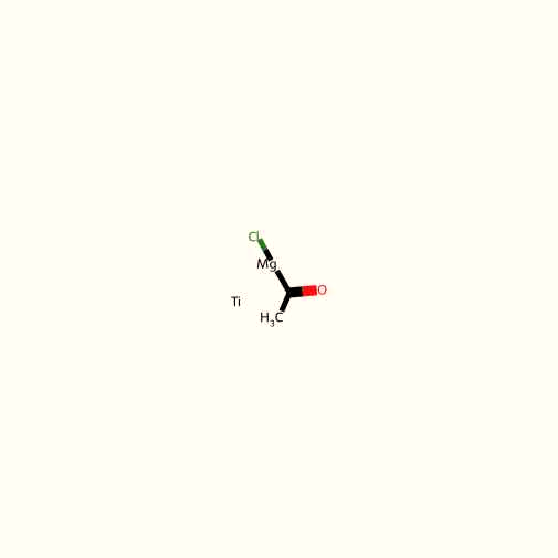 C[C](=O)[Mg][Cl].[Ti]